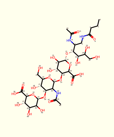 CCCC(=O)NCC(NC(C)=O)[C@@H](O[C@@H]1OC(C(=O)O)[C@@H](O[C@@H]2OC(CO)[C@@H](O)[C@H](O[C@@H]3OC(C(=O)O)[C@@H](O)[C@H](O)C3O)C2NC(C)=O)[C@H](O)C1O)[C@H](O)C(O)CO